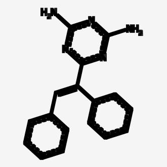 Nc1nc(N)nc(C(=Cc2ccccc2)c2ccccc2)n1